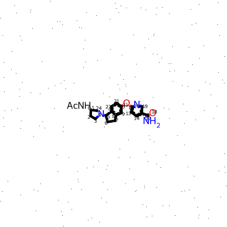 CC(=O)NC1CCN(C2CCc3cc(Oc4ccc(C(N)=O)cn4)ccc32)C1